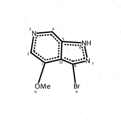 COc1cncc2[nH]nc(Br)c12